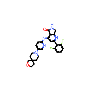 O=C1NCc2nc(-c3c(F)cccc3F)cc(Nc3ccc(N4CCC5(CCOC5)CC4)cn3)c21